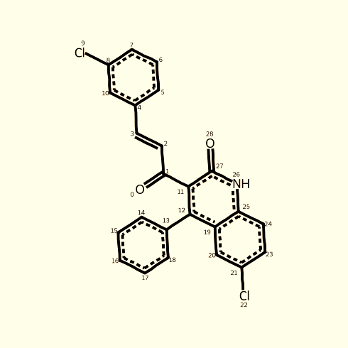 O=C(C=Cc1cccc(Cl)c1)c1c(-c2ccccc2)c2cc(Cl)ccc2[nH]c1=O